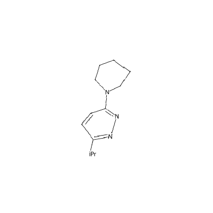 CC(C)c1ccc(N2CCCCC2)nn1